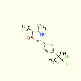 Cc1[nH]c(-c2ccc(C(C)(C)C(F)(F)F)cc2)cc(=O)c1C